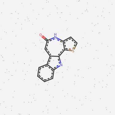 O=c1cc2c3ccccc3nc-2c2sccc2[nH]1